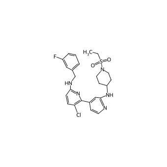 CCS(=O)(=O)N1CCC(Nc2cc(-c3nc(NCc4cccc(F)c4)ccc3Cl)ccn2)CC1